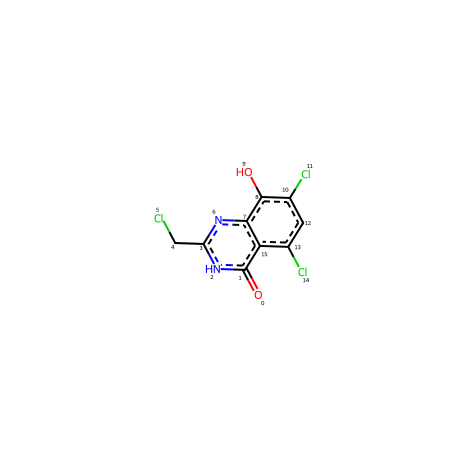 O=c1[nH]c(CCl)nc2c(O)c(Cl)cc(Cl)c12